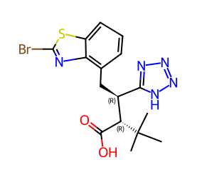 CC(C)(C)[C@H](C(=O)O)[C@@H](Cc1cccc2sc(Br)nc12)c1nnn[nH]1